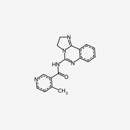 Cc1ccncc1C(=O)NC1=Nc2ccccc2C2=NCCN12